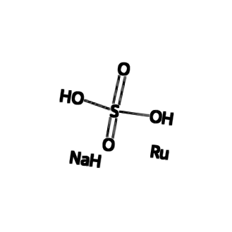 O=S(=O)(O)O.[NaH].[Ru]